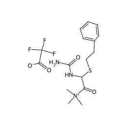 C[N+](C)(C)C(=O)C(NC(N)=O)SCCc1ccccc1.O=C([O-])C(F)(F)F